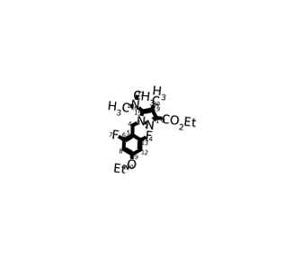 CCOC(=O)c1nn(Cc2c(F)cc(OCC)cc2F)c(N(C)C)c1C